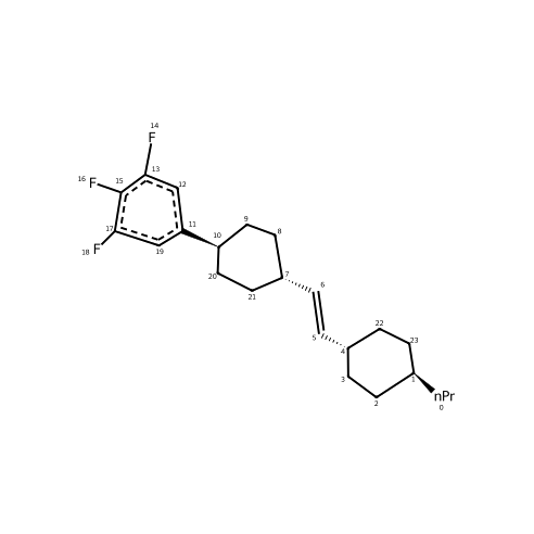 CCC[C@H]1CC[C@H](C=C[C@H]2CC[C@H](c3cc(F)c(F)c(F)c3)CC2)CC1